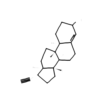 C#C[C@H]1CC[C@H]2[C@@H]3CCC4=CC(O)CC[C@]4(C)[C@H]3CC[C@]12C